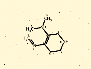 C=NC1=C(N(C)C)CNCC1